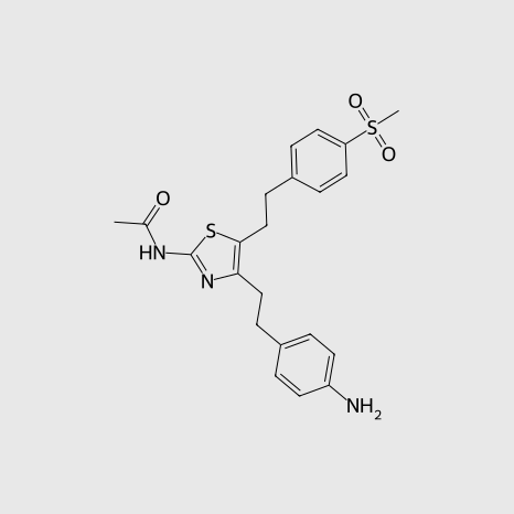 CC(=O)Nc1nc(CCc2ccc(N)cc2)c(CCc2ccc(S(C)(=O)=O)cc2)s1